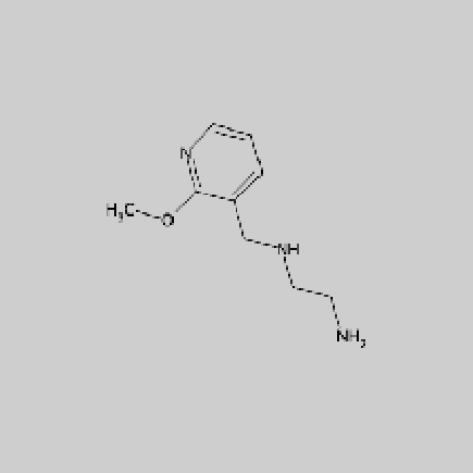 COc1ncccc1CNCCN